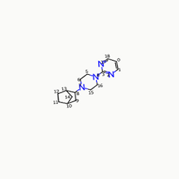 c1cnc(N2CCN(C3CC4CCC3C4)CC2)nc1